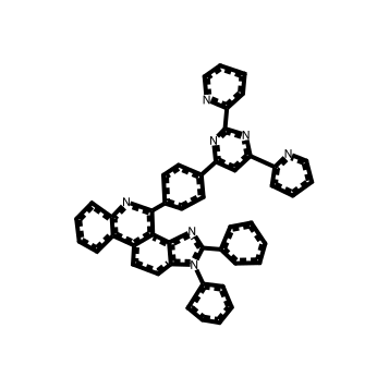 c1ccc(-c2nc3c4c(-c5ccc(-c6cc(-c7ccccn7)nc(-c7ccccn7)n6)cc5)nc5ccccc5c4ccc3n2-c2ccccc2)cc1